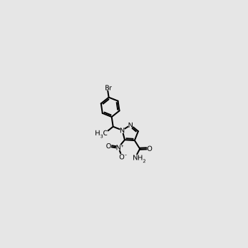 CC(c1ccc(Br)cc1)n1ncc(C(N)=O)c1[N+](=O)[O-]